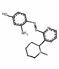 CN1CCCCC1c1cccnc1/N=N/c1ccc(O)cc1N